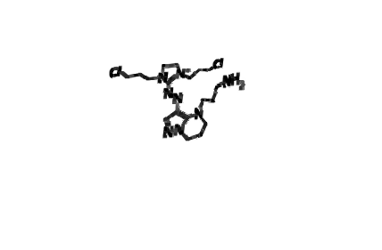 NCCCN1CCCn2ncc(/N=N/c3n(CCCCl)cc[n+]3CCCCl)c21